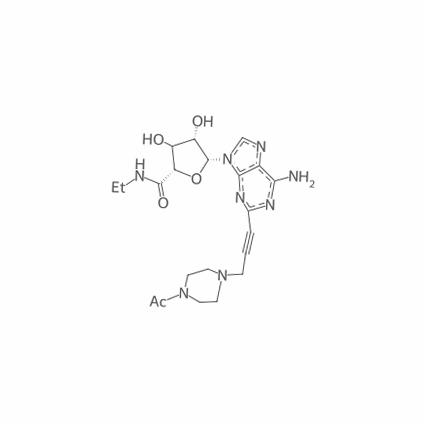 CCNC(=O)[C@H]1O[C@@H](n2cnc3c(N)nc(C#CCN4CCN(C(C)=O)CC4)nc32)[C@@H](O)C1O